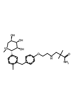 Cc1ccc([C@H]2[C@H](O)[C@H](O)[C@H](O)C[SH]2C)cc1Cc1ccc(OCCNCC(C)(C)C(N)=O)cc1